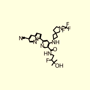 CC(C)(O)C(F)CNC(=O)c1cnc(-c2ccc3cc(C#N)cnn23)cc1NC1CC2(CCN(CC(F)(F)F)C2)C1